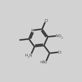 CCCCC(CC)c1c(N)c(C)nc(Cl)c1[N+](=O)[O-]